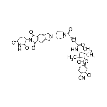 CC1(C)[C@H](NC(=O)C23CC(C(=O)N4CCC(N5Cc6cc7c(cc6C5)C(=O)N(C5CCC(=O)NC5=O)C7=O)CC4)(C2)C3)C(C)(C)[C@H]1Oc1ccc(C#N)c(Cl)c1